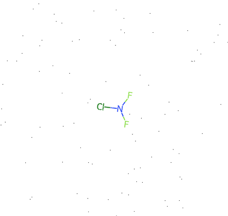 FN(F)Cl